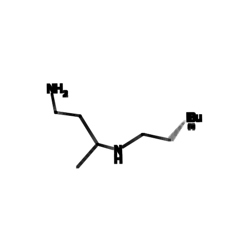 CC[C@@H](C)CCNC(C)CCN